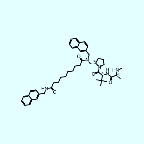 CN[C@@H](C)C(=O)N[C@H](C(=O)N1CCC[C@H]1CN(Cc1ccc2ccccc2c1)C(=O)CCCCCCCCC(=O)NCc1ccc2ccccc2c1)C(C)(C)C